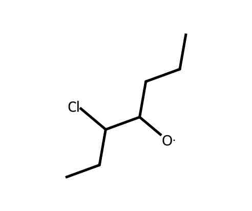 CCCC([O])C(Cl)CC